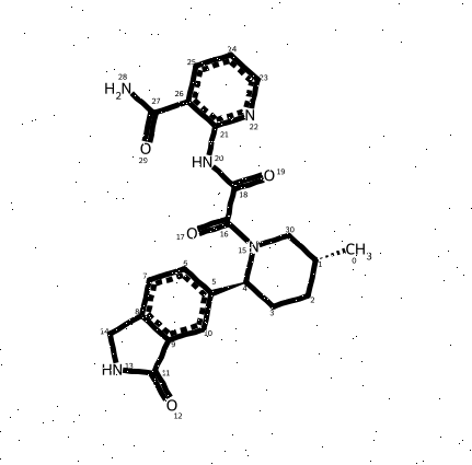 C[C@@H]1CC[C@@H](c2ccc3c(c2)C(=O)NC3)N(C(=O)C(=O)Nc2ncccc2C(N)=O)C1